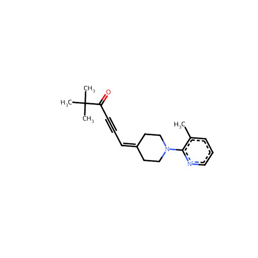 Cc1cccnc1N1CCC(=CC#CC(=O)C(C)(C)C)CC1